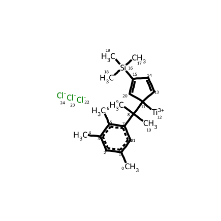 Cc1cc(C)c(C)c(C(C)(C)[C]2([Ti+3])C=CC([Si](C)(C)C)=C2)c1.[Cl-].[Cl-].[Cl-]